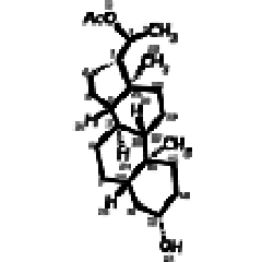 CC(=O)O[C@@H](C)[C@H]1CC[C@H]2[C@@H]3CC[C@H]4C[C@@H](O)CC[C@]4(C)[C@H]3CC[C@]12C